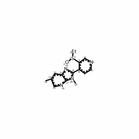 CC[S+]([O-])c1cnccc1-c1nc2cc(C)cnc2n1C